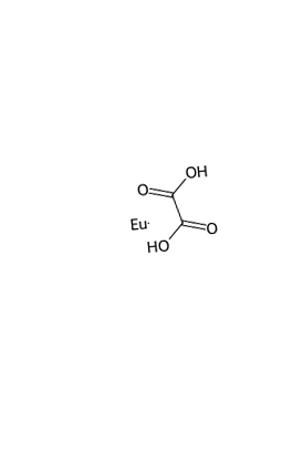 O=C(O)C(=O)O.[Eu]